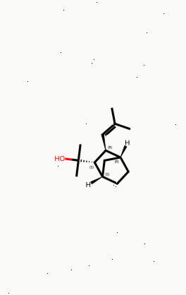 CC(C)=C[C@H]1[C@@H]2CC[C@@H](C2)[C@@H]1C(C)(C)O